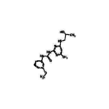 COc1cccc(NC(=O)Nc2nc(C)cc(NCC(C)O)n2)c1